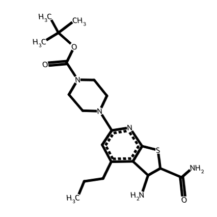 CCCc1cc(N2CCN(C(=O)OC(C)(C)C)CC2)nc2c1C(N)C(C(N)=O)S2